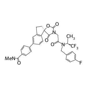 CNC(=O)c1ccc(-c2ccc3c(c2)CC[C@@]32OC(=O)N(CC(=O)N(Cc3ccc(F)cc3)[C@@H](C)C(F)(F)F)C2=O)cc1